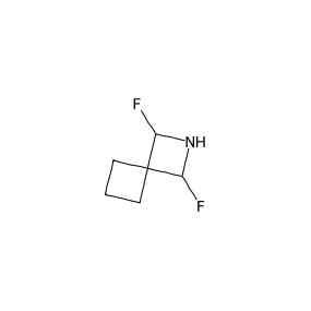 FC1NC(F)C12CCC2